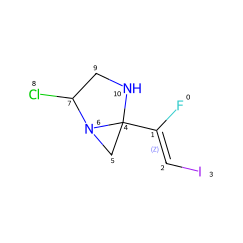 F/C(=C\I)C12CN1C(Cl)CN2